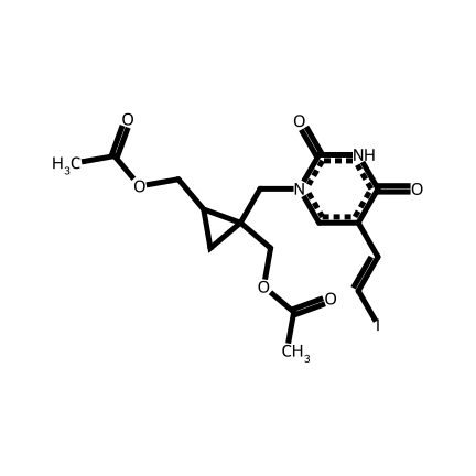 CC(=O)OCC1CC1(COC(C)=O)Cn1cc(C=CI)c(=O)[nH]c1=O